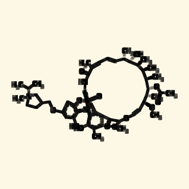 CO[C@H]1/C=C/O[C@@]2(C)Oc3c(C)c(O)c4c(=O)c(c5oc6cc(OCC7CC[N+](C)(C(C)C)C7)cc(O)c6nc-5c4c3C2=O)NC(=O)/C(C)=C\C=C\[C@H](C)[C@H](O)[C@@H](C)[C@@H](C)[C@@H](C)[C@H](OC(C)=O)[C@@H]1C